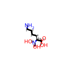 NCCCC[C@@H](C(=O)O)N(O)O